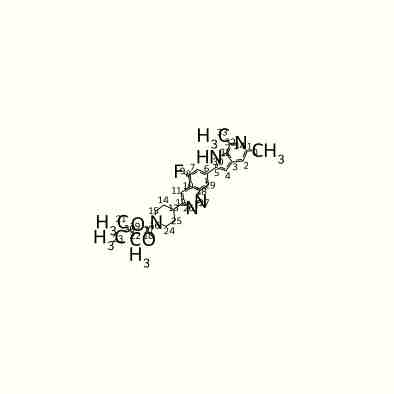 Cc1cc2cc(-c3cc(F)c4cc(C5CCN(C(=O)OC(C)(C)C)CC5)nnc4c3)[nH]c2c(C)n1